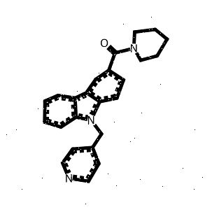 O=C(c1ccc2c(c1)c1ccccc1n2Cc1ccncc1)N1CCCCC1